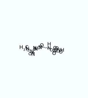 CN1CCC(c2cccc3ncc(-c4cnn(C5CCN(C(=O)CCCCCNc6ccc7c(c6)C(=O)N(C6CCC(=O)NC6=O)C7=O)CC5)c4)nc23)CC1